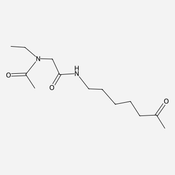 CCN(CC(=O)NCCCCCC(C)=O)C(C)=O